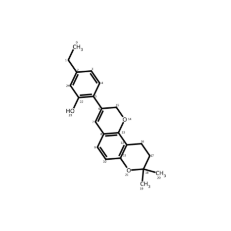 CCc1ccc(C2=Cc3ccc4c(c3OC2)CCC(C)(C)O4)c(O)c1